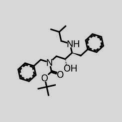 CC(C)CN[C@@H](Cc1ccccc1)[C@H](O)CN(Cc1ccccc1)C(=O)OC(C)(C)C